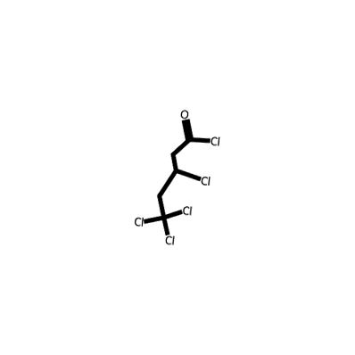 O=C(Cl)CC(Cl)CC(Cl)(Cl)Cl